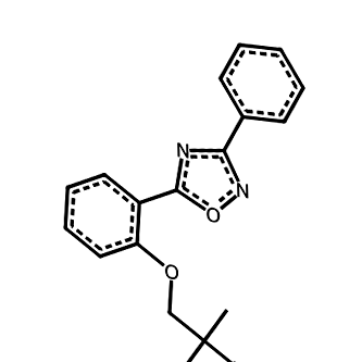 CC(C)(N)COc1ccccc1-c1nc(-c2ccccc2)no1